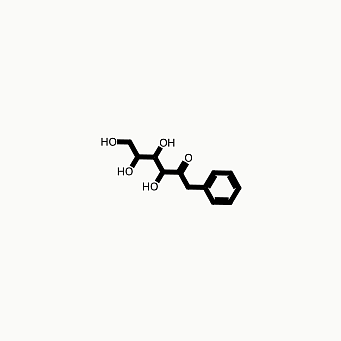 O=C(Cc1ccccc1)C(O)C(O)C(O)CO